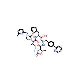 CCC(C)C(C(=O)NC(Cc1ccccc1)C(O)CN(Cc1ccc(-c2ccccn2)cc1)NC(=O)C1NC(=O)OC1C)N1CCN(Cc2cccc(C)n2)C1=O